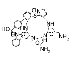 CN1C(=O)[C@H](CCN)NC(=O)[C@H](CCCN)NCc2cccnc2Sc2c(Cl)ccc(-c3ccc(C(=O)O)cc3)c2CNC(=O)[C@@H]1Cc1c[nH]c2ccccc12